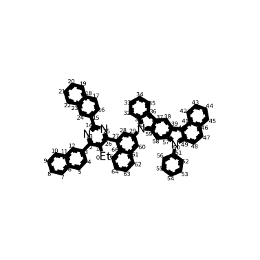 CCc1c(-c2ccc3ccccc3c2)nc(-c2ccc3ccccc3c2)nc1-c1cc(-n2c3ccccc3c3cc4c5c6ccccc6ccc5n(-c5ccccc5)c4cc32)cc2ccccc12